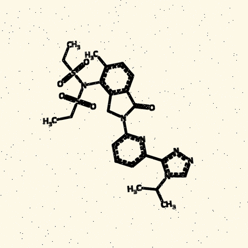 CCS(=O)(=O)N(c1c(C)ccc2c1CN(c1cccc(-c3nncn3C(C)C)n1)C2=O)S(=O)(=O)CC